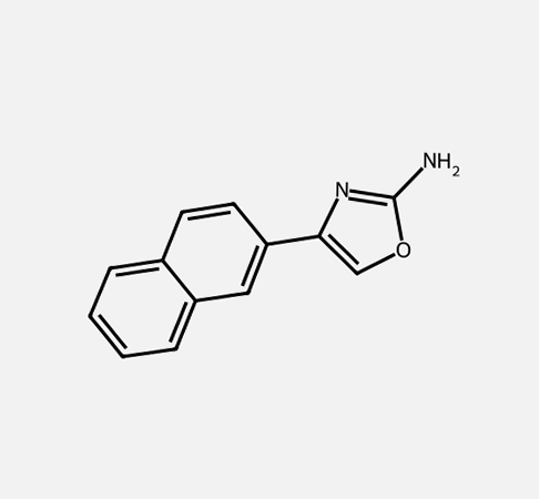 Nc1nc(-c2ccc3ccccc3c2)co1